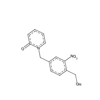 O=c1ccccn1Cc1ccc(CO)c([N+](=O)[O-])c1